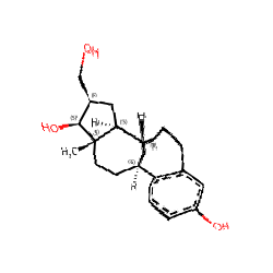 C[C@]12CC[C@@H]3c4ccc(O)cc4CC[C@H]3[C@@H]1C[C@H](CO)[C@@H]2O